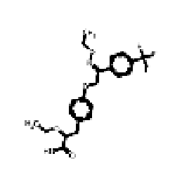 CCON=C(COc1ccc(CC(OCC)C(=O)O)cc1)c1ccc(C(F)(F)F)cc1